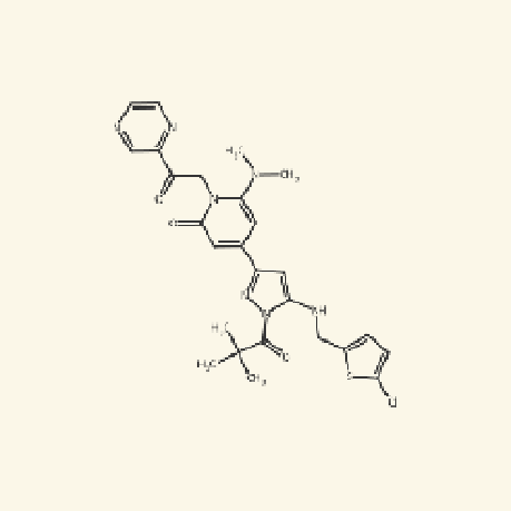 CN(C)c1cc(-c2cc(NCc3ccc(Cl)s3)n(C(=O)C(C)(C)C)n2)cc(=O)n1CC(=O)c1cnccn1